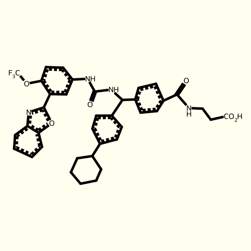 O=C(O)CCNC(=O)c1ccc(C(NC(=O)Nc2ccc(OC(F)(F)F)c(-c3nc4ccccc4o3)c2)c2ccc(C3CCCCC3)cc2)cc1